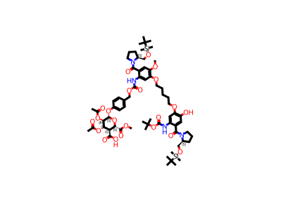 COC(=O)[C@H]1O[C@@H](Oc2ccc(COC(=O)Nc3cc(OCCCCCOc4cc(NC(=O)OC(C)(C)C)c(C(=O)N5CCC[C@H]5CO[Si](C)(C)C(C)(C)C)cc4O)c(OC)cc3C(=O)N3CCC[C@H]3CO[Si](C)(C)C(C)(C)C)cc2)[C@H](OC(C)=O)[C@@H](OC(C)=O)[C@@H]1C(=O)O